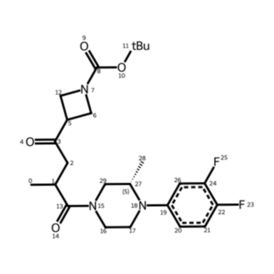 CC(CC(=O)C1CN(C(=O)OC(C)(C)C)C1)C(=O)N1CCN(c2ccc(F)c(F)c2)[C@@H](C)C1